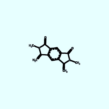 C=C1c2cc3c(cc2C(=O)N1C)C(=O)N(C)C3=C